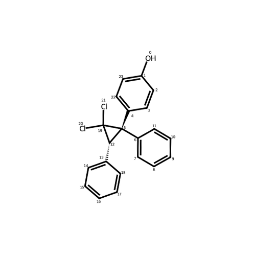 Oc1ccc([C@@]2(c3ccccc3)[C@H](c3ccccc3)C2(Cl)Cl)cc1